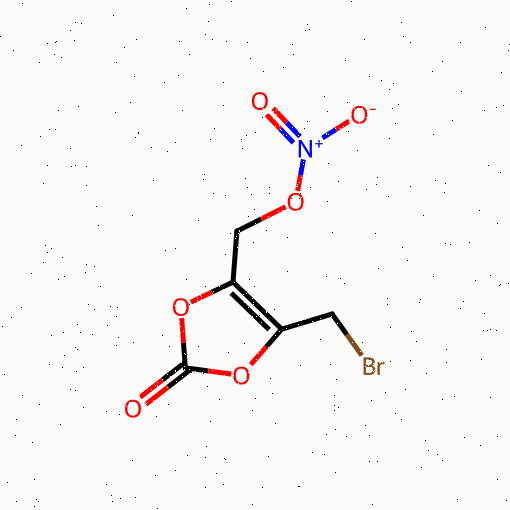 O=c1oc(CBr)c(CO[N+](=O)[O-])o1